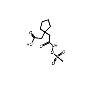 CS(=O)(=O)ONC(=O)CC1(CC(=O)O)CCCC1